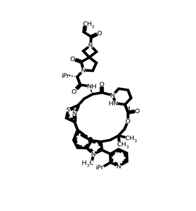 C=CC(=O)N1CC2(CCN([C@H](C(=O)N[C@H]3Cc4nc(cs4)-c4ccc5c(c4)c(c(-c4cccnc4C(C)C)n5C)CC(C)(C)COC(=O)[C@@H]4CCCN(N4)C3=O)C(C)C)C2=O)C1